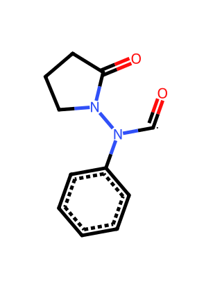 O=[C]N(c1ccccc1)N1CCCC1=O